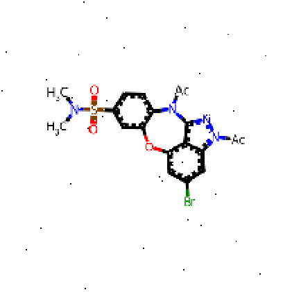 CC(=O)N1c2ccc(S(=O)(=O)N(C)C)cc2Oc2cc(Br)cc3c2c1nn3C(C)=O